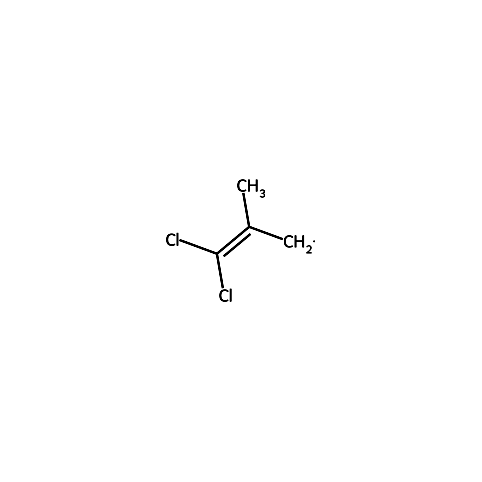 [CH2]C(C)=C(Cl)Cl